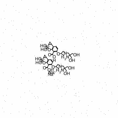 NC(CO)(CO)CN1CC(Oc2ccc3c(c2C(=O)O)O[B-](O)(O)C2CC32)C1.NC(CO)(CO)CN1CC(Oc2ccc3c(c2C(=O)O)O[B-](O)(O)C2CC32)C1.[Na+].[Na+]